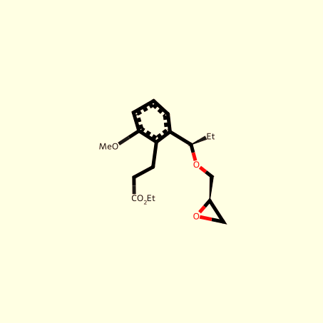 CCOC(=O)CCc1c(OC)cccc1[C@@H](CC)OC[C@H]1CO1